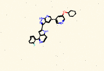 Fc1ccccc1-c1nccc2[nH]c(-c3n[nH]c4ncc(-c5cncc(OC6CCCCC6)c5)cc34)cc12